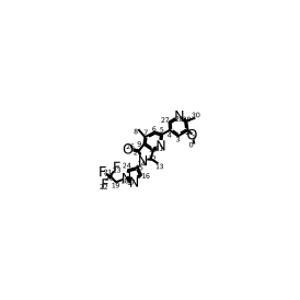 COc1cc(-c2cc(C)c3c(n2)C(C)N(c2cnn(CC(F)(F)F)c2)C3=O)cnc1C